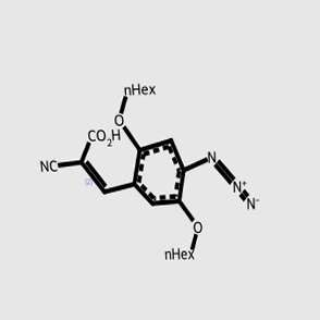 CCCCCCOc1cc(N=[N+]=[N-])c(OCCCCCC)cc1/C=C(/C#N)C(=O)O